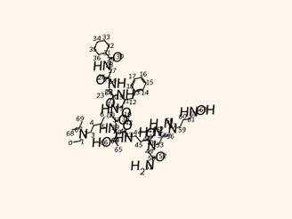 CCN(CCCC[C@H](NC(=O)C(Cc1ccccc1)NC(=O)[C@H](C)NC(=O)CNC(=O)C1CCCCC1)C(=O)NC(C(=O)NCCC(=O)N(CC(N)=O)C/C(N)=C/N(N)CCCNO)[C@@H](C)O)C(C)C